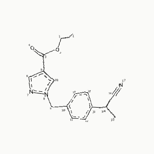 CCOC(=O)c1cnn(Cc2ccc(C(C)C#N)cc2)c1